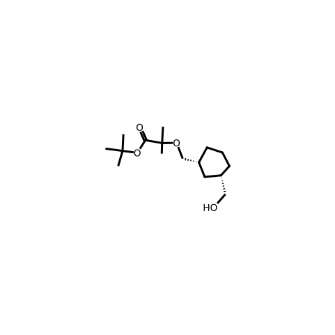 CC(C)(C)OC(=O)C(C)(C)OC[C@@H]1CCC[C@H](CO)C1